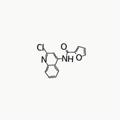 O=C(Nc1cc(Cl)nc2ccccc12)c1ccco1